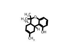 CC1=CC[C@@H]2[C@@H](C1)c1c(O)cccc1OC2(C)C